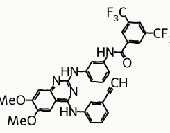 C#Cc1cccc(Nc2nc(Nc3cccc(NC(=O)c4cc(C(F)(F)F)cc(C(F)(F)F)c4)c3)nc3cc(OC)c(OC)cc23)c1